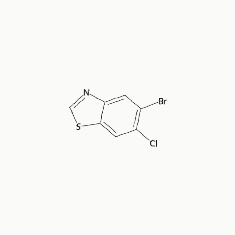 Clc1cc2scnc2cc1Br